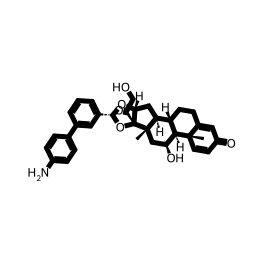 C[C@]12C=CC(=O)C=C1CC[C@@H]1[C@@H]2[C@@H](O)C[C@@]2(C)[C@H]1C[C@H]1O[C@@H](c3cccc(-c4ccc(N)cc4)c3)O[C@]12C(=O)CO